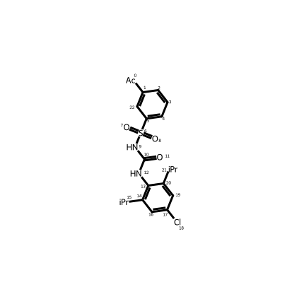 CC(=O)c1cccc(S(=O)(=O)NC(=O)Nc2c(C(C)C)cc(Cl)cc2C(C)C)c1